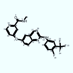 CNC(=O)c1cc(Oc2ccc3nc(Nc4ccc(F)c(C(F)(F)F)c4)ncc3c2)ccn1